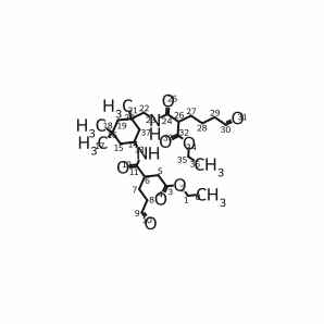 CCOC(=O)CC(CCC=O)C(=O)NC1CC(C)(C)CC(C)(CNC(=O)C(CCCC=O)C(=O)OCC)C1